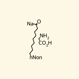 CCCCCCCCCCCCCCCCC[C](=O)[Na].NCC(=O)O